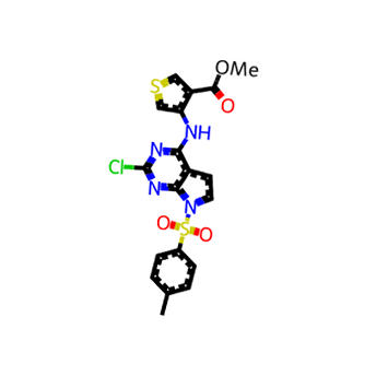 COC(=O)c1cscc1Nc1nc(Cl)nc2c1ccn2S(=O)(=O)c1ccc(C)cc1